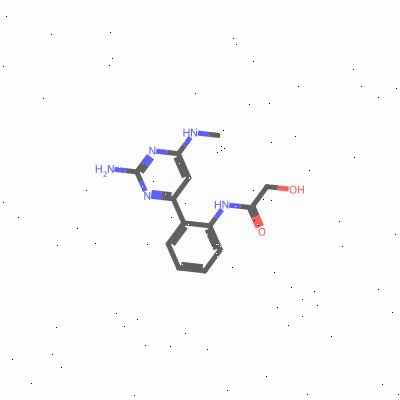 CNc1cc(-c2ccccc2NC(=O)CO)nc(N)n1